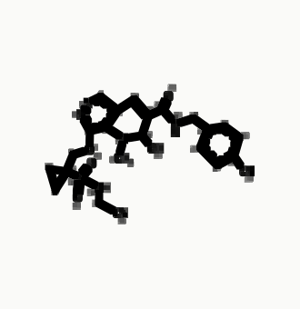 CN1c2c(cnnc2OCC2(S(=O)(=O)NCC#N)CC2)C=C(C(=O)NCc2ccc(C#N)cc2)C1O